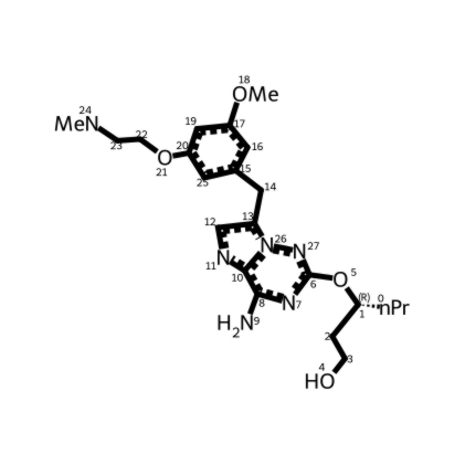 CCC[C@H](CCO)Oc1nc(N)c2ncc(Cc3cc(OC)cc(OCCNC)c3)n2n1